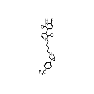 O=c1[nH]c(F)ccc1-c1cccn(CCCCN2CC3C[C@]3(c3ccc(C(F)(F)F)cc3)C2)c1=O